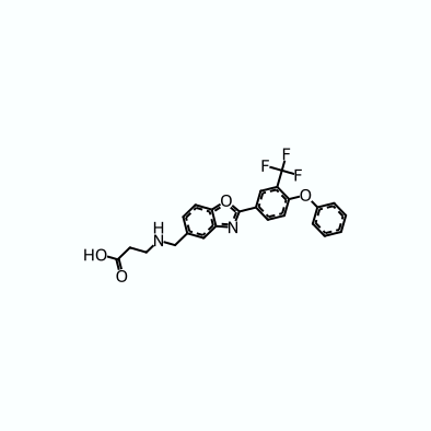 O=C(O)CCNCc1ccc2oc(-c3ccc(Oc4ccccc4)c(C(F)(F)F)c3)nc2c1